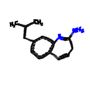 CC(C)Cc1ccc2c(c1)N=C(N)CC=C2